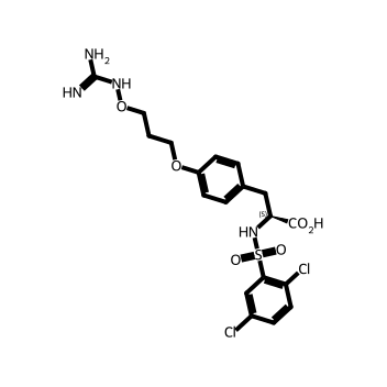 N=C(N)NOCCCOc1ccc(C[C@H](NS(=O)(=O)c2cc(Cl)ccc2Cl)C(=O)O)cc1